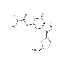 CC(C)C(=O)Nc1nc2c(ncn2[C@H]2CC[C@@H](C=O)O2)c(=O)[nH]1